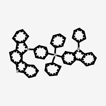 c1ccc(-n2c3ccccc3c3ccc([Si](c4ccccc4)(c4ccccc4)c4ccc(-n5c6ccccc6c6ccc7sc8ccccc8c7c65)cc4)cc32)cc1